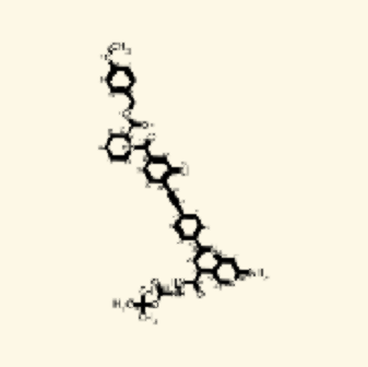 COc1ccc(COC(=O)[C@@H]2CCCCN2C(=O)c2ccc(C#Cc3ccc(-c4cc(C(=O)NNC(=O)OC(C)(C)C)c5cnc(N)cc5n4)cc3)c(Cl)c2)cc1